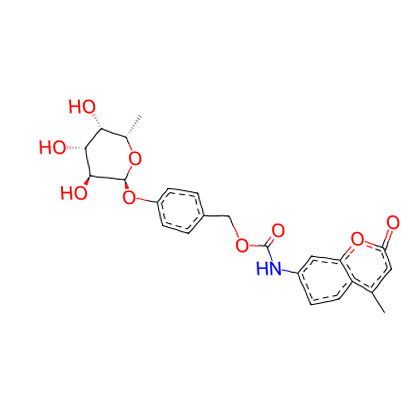 Cc1cc(=O)oc2cc(NC(=O)OCc3ccc(O[C@@H]4O[C@@H](C)[C@@H](O)[C@@H](O)[C@@H]4O)cc3)ccc12